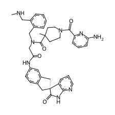 CNCc1ccccc1CN(CC(=O)Nc1ccc2c(c1)C[C@@]1(C2)C(=O)Nc2ncccc21)C(=O)C1(C)CCN(C(=O)c2cccc(N)n2)CC1